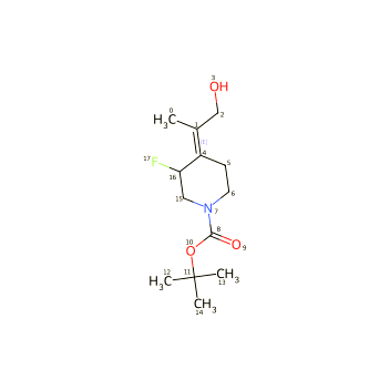 C/C(CO)=C1/CCN(C(=O)OC(C)(C)C)CC1F